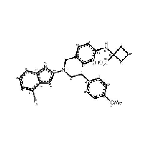 COc1ccc(CCN(Cc2ccc(NC3(C(=O)O)CCC3)cc2)c2nc3cccc(F)c3s2)cc1